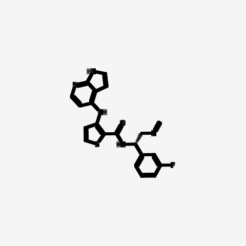 C=NC[C@@H](NC(=O)c1sccc1Nc1ccnc2[nH]ccc12)c1cccc(F)c1